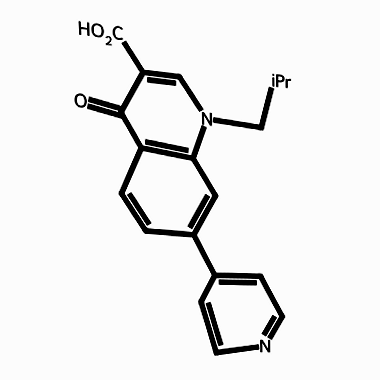 CC(C)Cn1cc(C(=O)O)c(=O)c2ccc(-c3ccncc3)cc21